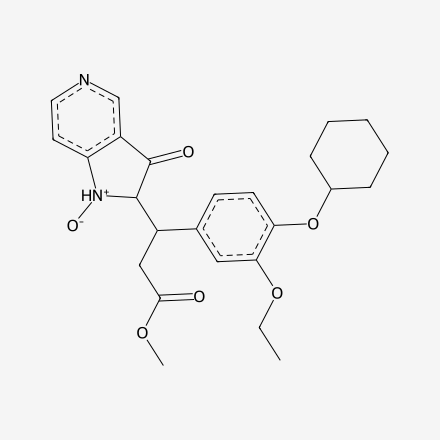 CCOc1cc(C(CC(=O)OC)C2C(=O)c3cnccc3[NH+]2[O-])ccc1OC1CCCCC1